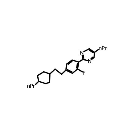 CCCc1cnc(-c2ccc(CCC3CCC(CCC)CC3)cc2F)nc1